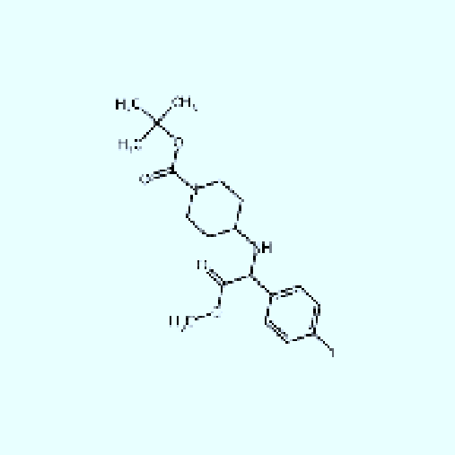 COC(=O)C(NC1CCN(C(=O)OC(C)(C)C)CC1)c1ccc(F)cc1